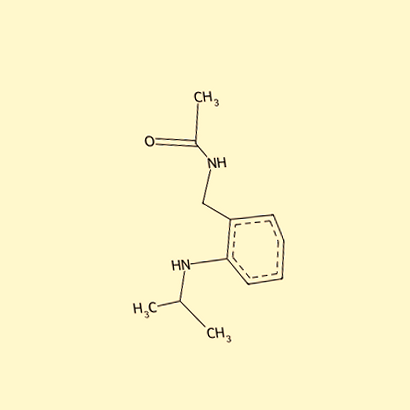 CC(=O)NCc1ccccc1NC(C)C